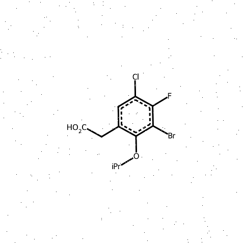 CC(C)Oc1c(CC(=O)O)cc(Cl)c(F)c1Br